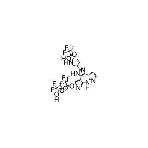 O=C(O)C(F)(F)F.O=C(O)C(F)(F)F.O=C(O)C(F)(F)F.c1cnc2c(c1)-c1nc(C3CCCNC3)[nH]c1-c1ccncc1N2